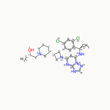 C[C@H](O)CN1CCC[C@H](C2CN(c3cc(N[C@H](C)c4ccc(Cl)cc4Cl)n4ncnc4n3)C2)C1